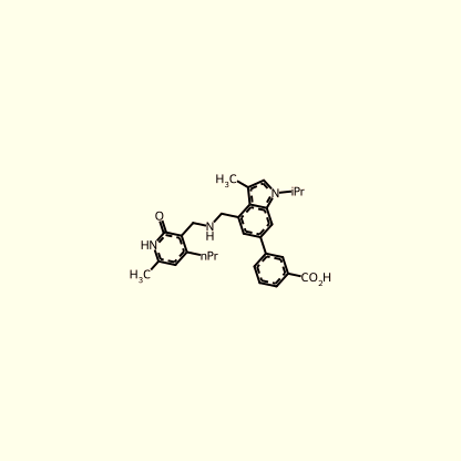 CCCc1cc(C)[nH]c(=O)c1CNCc1cc(-c2cccc(C(=O)O)c2)cc2c1c(C)cn2C(C)C